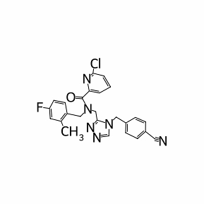 Cc1cc(F)ccc1CN(Cc1nncn1Cc1ccc(C#N)cc1)C(=O)c1cccc(Cl)n1